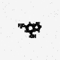 Oc1nc(C(F)(F)F)cc2nccn12